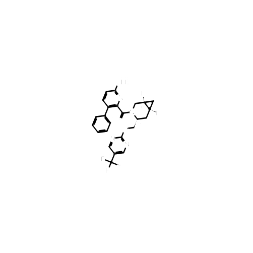 Cc1ccc(-c2ccccc2)c(C(=O)N2C[C@@H]3C[C@@H]3C[C@H]2COc2ncc(C(F)(F)F)cn2)n1